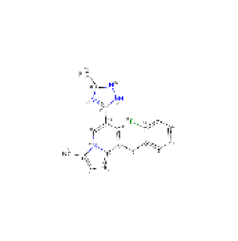 N#Cc1cbc2c(Cc3ccccc3F)bc(-c3nc(C(F)(F)F)n[nH]3)cn12